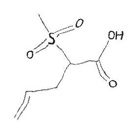 C=CCC(C(=O)O)S(C)(=O)=O